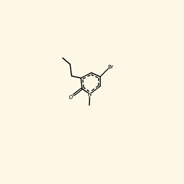 CCCc1cc(Br)cn(C)c1=O